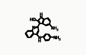 Nc1ccc(Nc2cc(-c3c(O)[nH]c4ccc(N)cc34)nc3ccccc23)cc1